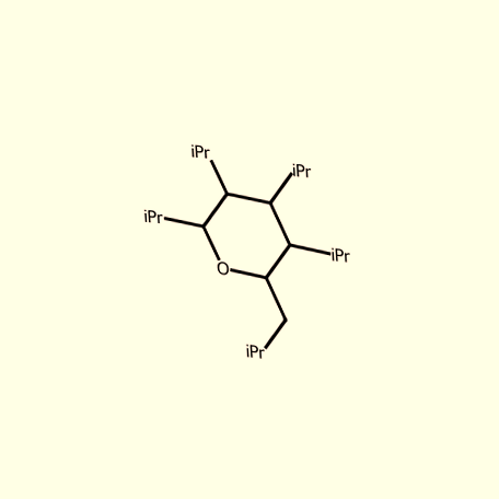 CC(C)CC1OC(C(C)C)C(C(C)C)C(C(C)C)C1C(C)C